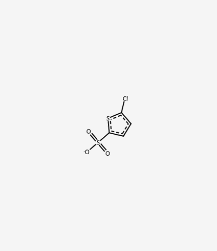 [O]S(=O)(=O)c1ccc(Cl)s1